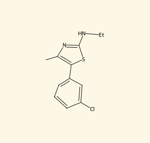 CCNc1nc(C)c(-c2cccc(Cl)c2)s1